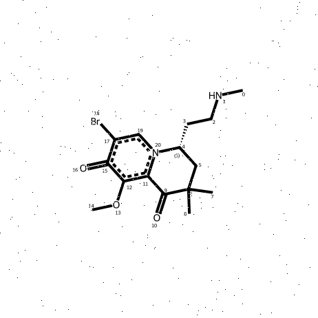 CNCC[C@@H]1CC(C)(C)C(=O)c2c(OC)c(=O)c(Br)cn21